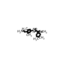 Cc1cc(-c2noc(-c3cn(C)c4c3CCC(C)(C)C4)n2)cc(C)c1CCN